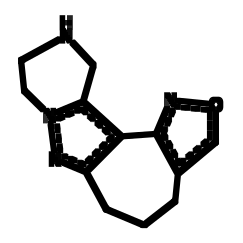 c1onc2c1CCCc1nn3c(c1-2)CNCC3